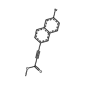 COC(=O)C#Cc1ccc2cc(Br)ccc2c1